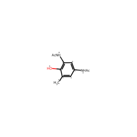 CC(=O)Nc1cc(C)c(O)c(NC(C)=O)c1